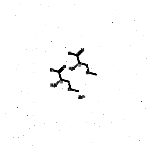 C[Se]C[C@H](N)C(=O)[O-].C[Se]C[C@H](N)C(=O)[O-].[Zn+2]